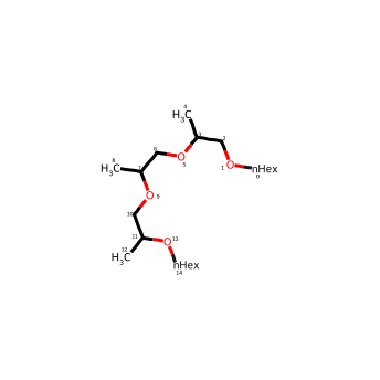 CCCCCCOCC(C)OCC(C)OCC(C)OCCCCCC